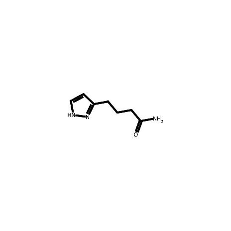 NC(=O)CC[CH]c1cc[nH]n1